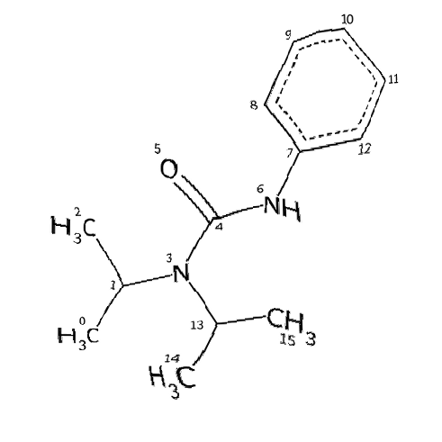 CC(C)N(C(=O)Nc1ccccc1)C(C)C